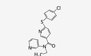 CCN(C(=O)c1ccc(Sc2ccc(Cl)cc2)nc1)c1cccnc1